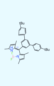 CC1=CC(C)N/C1=C(/c1cc(-c2ccc(C(C)(C)C)cc2)cc(-c2ccc(C(C)(C)C)cc2)c1)c1c(C)cc(C)n1B(F)F